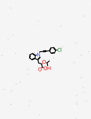 CC(C)OC(Cc1cn(CC#Cc2ccc(Cl)cc2)c2ccccc12)C(=O)O